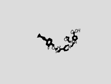 O=C(O)c1ccc2nc(CN3CC=C(c4csc(OCc5ccc(C#CC6CC6)cc5F)n4)CC3)n(CC3CCO3)c2c1